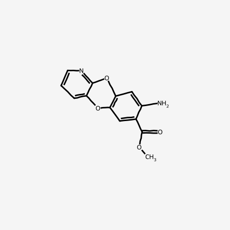 COC(=O)c1cc2c(cc1N)Oc1ncccc1O2